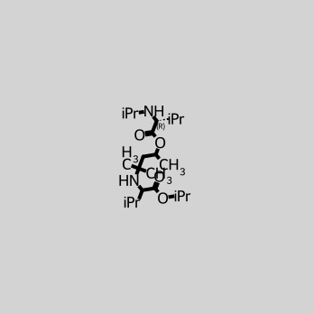 CC(C)N[C@@H](C(=O)OC(C)CC(C)(C)NC(C(=O)OC(C)C)C(C)C)C(C)C